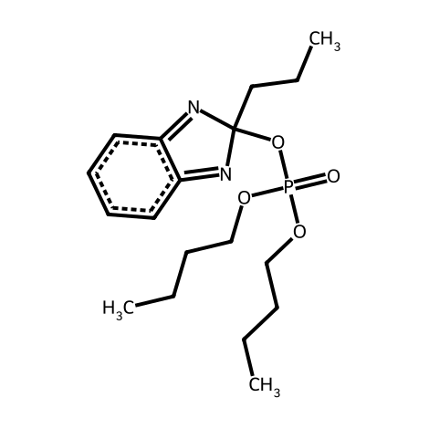 CCCCOP(=O)(OCCCC)OC1(CCC)N=c2ccccc2=N1